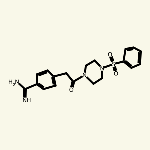 N=C(N)c1ccc(CC(=O)N2CCN(S(=O)(=O)c3ccccc3)CC2)cc1